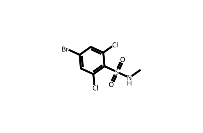 CNS(=O)(=O)c1c(Cl)cc(Br)cc1Cl